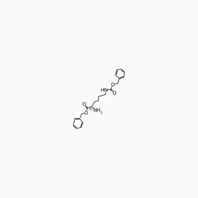 N[C@H](CCCCNC(=O)OCc1ccccc1)C(=O)OCc1ccccc1